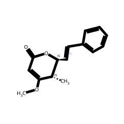 COC1=CC(=O)O[C@@H](/C=C/c2ccccc2)[C@@H]1C